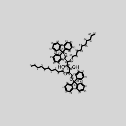 CCCCCCCCCCO[C@H](COC(c1ccccc1)(c1ccccc1)c1ccccc1)[C@@H](O)[C@H](O)[C@@H](COC(c1ccccc1)(c1ccccc1)c1ccccc1)OCCCCCCCCCC